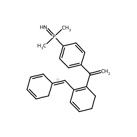 C=C(C1=C(/C=C2/C=CC=CC2)C=CCC1)c1ccc(P(C)(C)=N)cc1